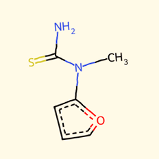 CN(C(N)=S)c1ccco1